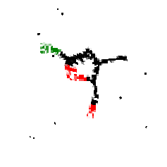 Cc1cc(Br)oc1C=O